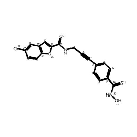 O=C(NCC#Cc1ccc(C(=S)NO)cc1)c1cc2cc(Cl)ccc2o1